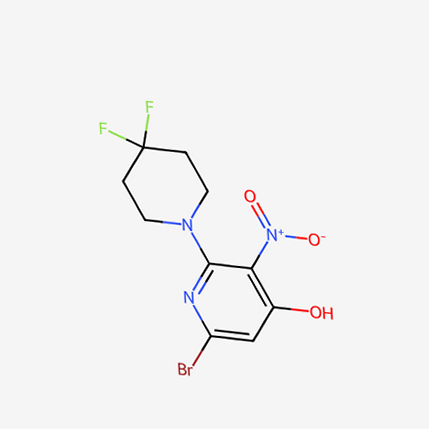 O=[N+]([O-])c1c(O)cc(Br)nc1N1CCC(F)(F)CC1